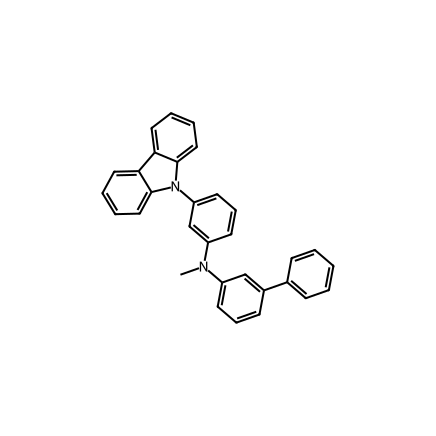 CN(c1cccc(-c2ccccc2)c1)c1cccc(-n2c3ccccc3c3ccccc32)c1